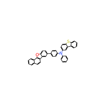 c1ccc(N(c2ccc(-c3ccc4oc5c6ccccc6ccc5c4c3)cc2)c2ccc3sc4ccccc4c3c2)cc1